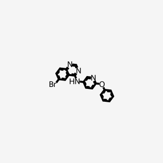 Brc1ccc2ncnc(Nc3ccc(Oc4ccccc4)nc3)c2c1